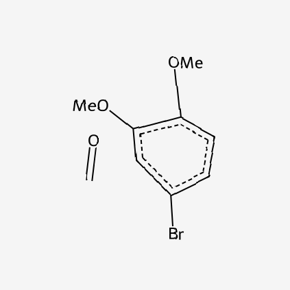 C=O.COc1ccc(Br)cc1OC